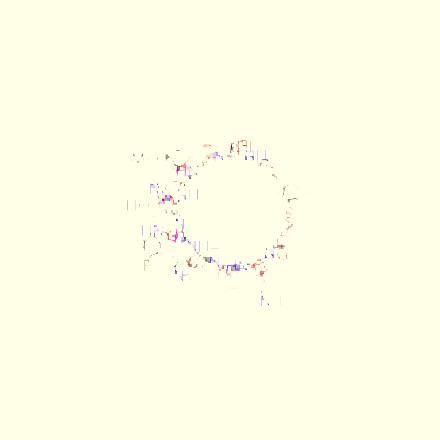 COc1ccc(C[C@@H]2NC(=O)[C@H](CC3=NC=NC3)NC(=O)[C@H](CC(=O)O)NC(=O)[C@H](Cc3c[nH]c4ccc(F)cc34)NC(=O)[C@H](Cc3cccnc3)NC(=O)[C@@H](C)NC(=O)[C@H](CCCCN)NC(=O)CCSCc3cccc(c3)CSCCNC(=O)[C@]3(C)CCCN3C2=O)cc1